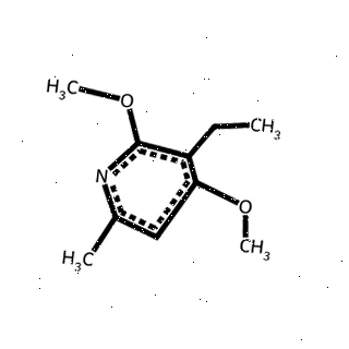 CCc1c(OC)cc(C)nc1OC